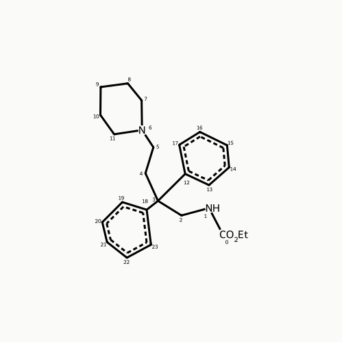 CCOC(=O)NCC(CCN1CCCCC1)(c1ccccc1)c1ccccc1